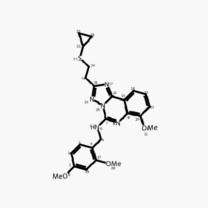 COc1ccc(CNc2nc3c(OC)cccc3c3nc(CCSC4CC4)nn23)c(OC)c1